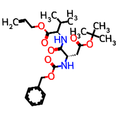 C=CCOC(=O)[C@@H](NC(=O)[C@H](CC(=O)OC(C)(C)C)NC(=O)OCc1ccccc1)C(C)C